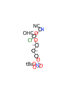 Cc1c(COc2cc(OCc3cncc(C#N)c3)c(C=O)cc2Cl)cccc1-c1cccc(-c2ccc(OC[C@@H]3COC(C)(C)N3C(=O)OC(C)(C)C)cc2)c1C